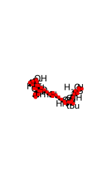 C#Cc1c(F)ccc2cc(O)cc(-c3ncc4c(N5CC6CCC(C5)N6)nc(OCCCN5CCN(CCCCCCC(=O)NC(C(=O)N6CCC[C@H]6C(=O)NCc6ccc(-c7scnc7C)cc6)C(C)(C)C)CC5)nc4c3F)c12